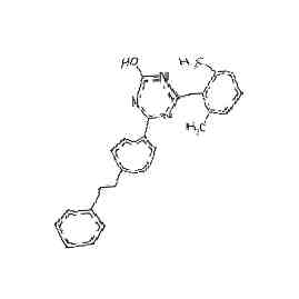 Cc1cccc(C)c1-c1nc(O)nc(-c2ccc(CCc3ccccc3)cc2)n1